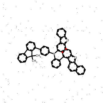 CC1(C)c2ccccc2-c2cccc(-c3ccc(N(c4ccc5oc6ccccc6c5c4)c4ccccc4-c4cccc5oc6c7ccccc7ccc6c45)cc3)c21